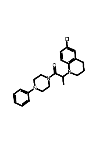 CC(C(=O)N1CCN(c2ccccc2)CC1)N1CCCc2cc(Cl)ccc21